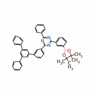 CC1(C)OB(c2cccc(-c3nc(-c4ccccc4)nc(-c4cccc(-c5cc(-c6ccccc6)cc(-c6ccccc6)c5)c4)n3)c2)OC1(C)C